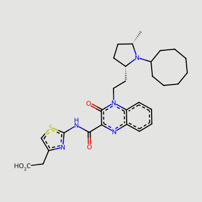 C[C@H]1CC[C@@H](CCn2c(=O)c(C(=O)Nc3nc(CC(=O)O)cs3)nc3ccccc32)N1C1CCCCCCC1